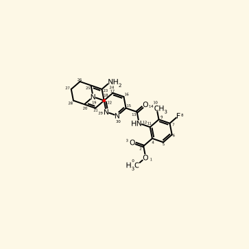 COC(=O)c1ccc(F)c(C)c1NC(=O)c1ccc(N2C3=CCC(N)=C2CCC3)nn1